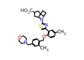 Cc1ccc(OCc2ccc(CN3CCOCC3)cc2C)c(-c2csc(N3C4CCC45CC(C(=O)O)CC35)n2)c1